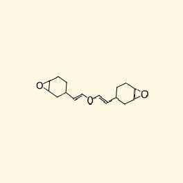 C(=CC1CCC2OC2C1)OC=CC1CCC2OC2C1